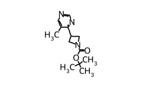 Cc1cncnc1C1CN(C(=O)OC(C)(C)C)C1